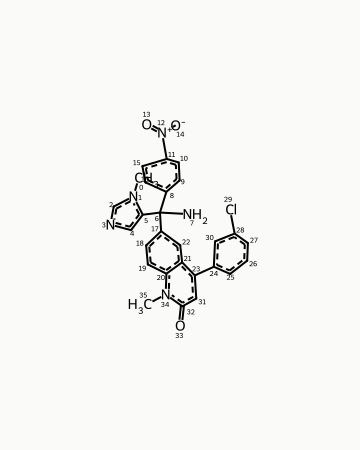 Cn1cncc1C(N)(c1ccc([N+](=O)[O-])cc1)c1ccc2c(c1)c(-c1cccc(Cl)c1)cc(=O)n2C